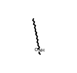 CCCCCCCC/C=C/CCCCCCCC(=O)NCC